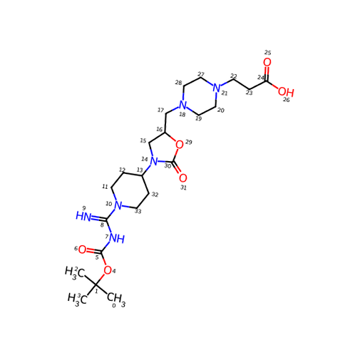 CC(C)(C)OC(=O)NC(=N)N1CCC(N2CC(CN3CCN(CCC(=O)O)CC3)OC2=O)CC1